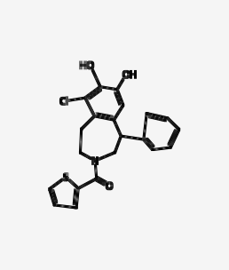 O=C(c1cccs1)N1CCc2c(cc(O)c(O)c2Cl)C(c2ccccc2)C1